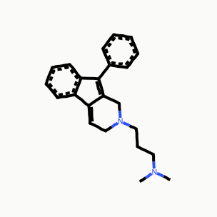 CN(C)CCCN1CC=C2C(=C(c3ccccc3)c3ccccc32)C1